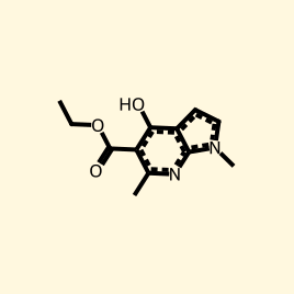 CCOC(=O)c1c(C)nc2c(ccn2C)c1O